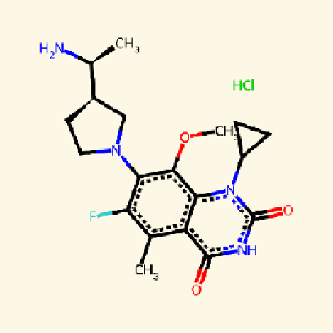 COc1c(N2CC[C@@H]([C@H](C)N)C2)c(F)c(C)c2c(=O)[nH]c(=O)n(C3CC3)c12.Cl